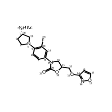 CC(=O)N[C@H]1CCN(c2ccc(N3CC(COc4ccon4)OC3=O)cc2F)C1